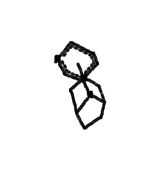 CN1CC2CCC(C1)N2c1cccnc1